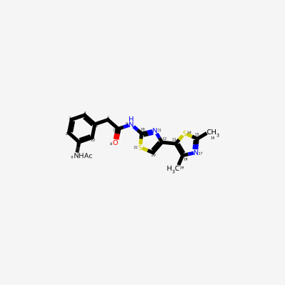 CC(=O)Nc1cccc(CC(=O)Nc2nc(-c3sc(C)nc3C)cs2)c1